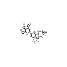 COc1cc(-c2cc3c4c(c2)C2CCNCCC2N4CCO3)cc(OC)c1OC